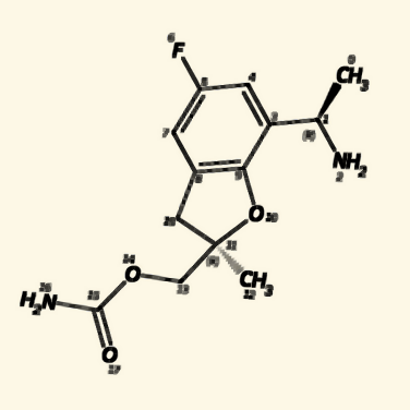 C[C@@H](N)c1cc(F)cc2c1O[C@@](C)(COC(N)=O)C2